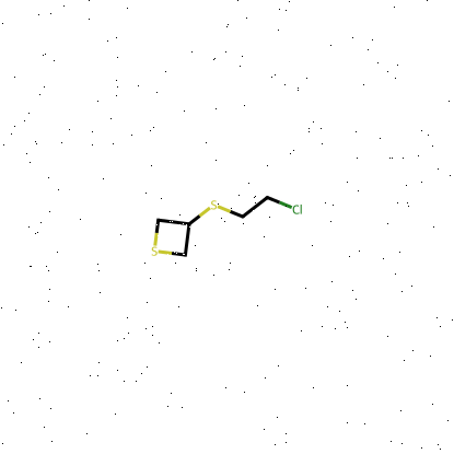 ClCCSC1CSC1